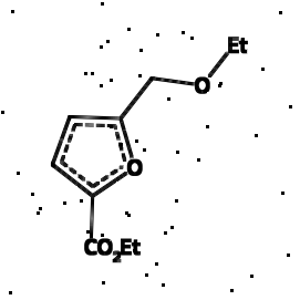 CCOCc1ccc(C(=O)OCC)o1